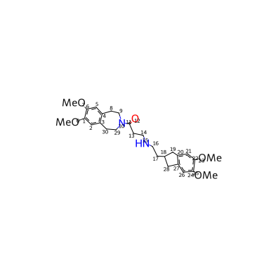 COc1cc2c(cc1OC)CCN(C(=O)CCNCCC1Cc3cc(OC)c(OC)cc3C1)CC2